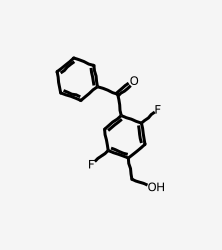 O=C(c1ccccc1)c1cc(F)c(CO)cc1F